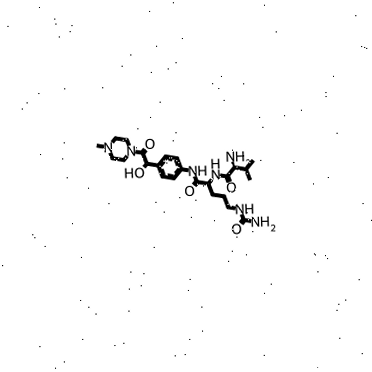 CC(C)[C@H](N)C(=O)NC(CCCNC(N)=O)C(=O)Nc1ccc(C(O)C(=O)N2CCN(C)CC2)cc1